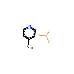 FB(F)F.FC(F)(F)c1ccncc1